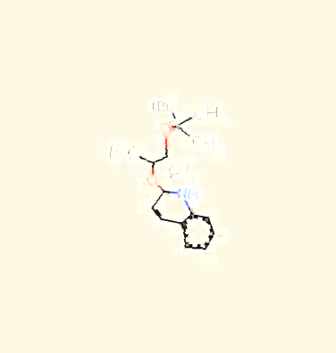 CC(CO[Si](C)(C)C(C)(C)C)O[C@]1(C)C=Cc2ccccc2N1